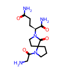 NCC(=O)N1CCCC12CCN([C@@H](CCC(N)=O)C(N)=O)C2=O